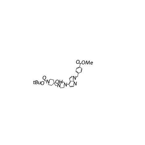 COC(=O)c1ccc(Cn2ccc3c(N4CCN(CC5(O)CCN(C(=O)OC(C)(C)C)CC5)CC4)ccnc32)cc1